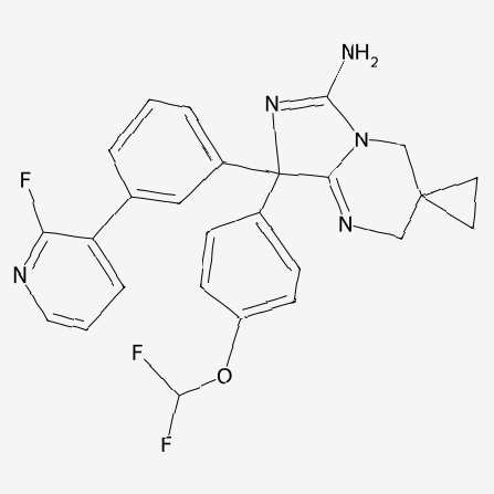 NC1=NC(c2ccc(OC(F)F)cc2)(c2cccc(-c3cccnc3F)c2)C2=NCC3(CC3)CN12